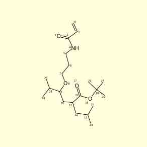 C=CC(=O)NCCCOC(CC(CC(C)C)C(=O)OC(C)(C)C)C(C)C